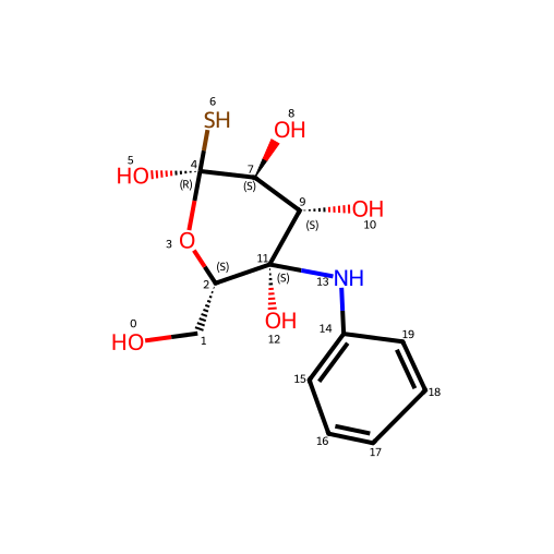 OC[C@@H]1O[C@@](O)(S)[C@@H](O)[C@H](O)[C@@]1(O)Nc1ccccc1